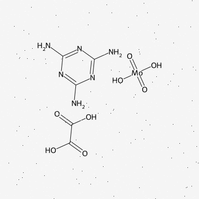 Nc1nc(N)nc(N)n1.O=C(O)C(=O)O.[O]=[Mo](=[O])([OH])[OH]